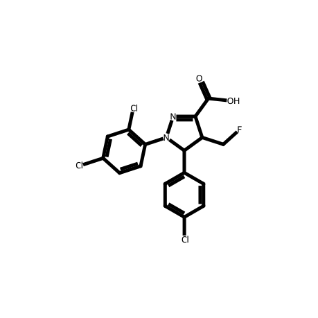 O=C(O)C1=NN(c2ccc(Cl)cc2Cl)C(c2ccc(Cl)cc2)C1CF